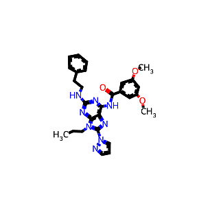 CCCn1c(-n2cccn2)nc2c(NC(=O)c3cc(OC)cc(OC)c3)nc(NCCc3ccccc3)nc21